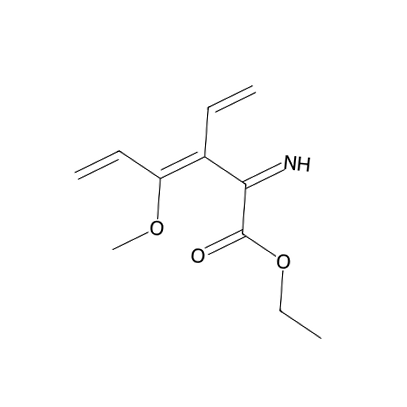 C=C/C(OC)=C(\C=C)C(=N)C(=O)OCC